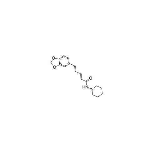 O=C(C=CC=Cc1ccc2c(c1)OCO2)NN1CCCCC1